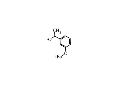 CC([O])c1cccc(OC(C)(C)C)c1